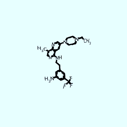 CCN1CCN(c2cnc3c(C)cnc(NCCc4cc(N)cc(C(F)(F)F)c4)c3c2)CC1